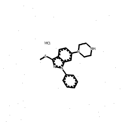 CSc1nn(-c2ccccc2)c2cc(N3CCNCC3)ccc12.Cl